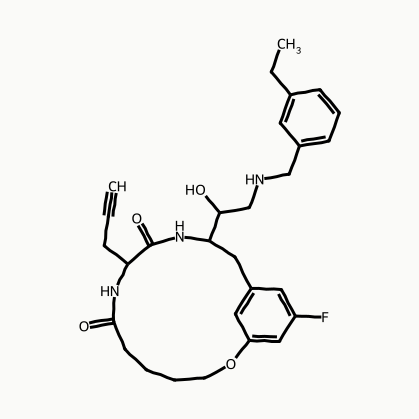 C#CCC1NC(=O)CCCCOc2cc(F)cc(c2)CC(C(O)CNCc2cccc(CC)c2)NC1=O